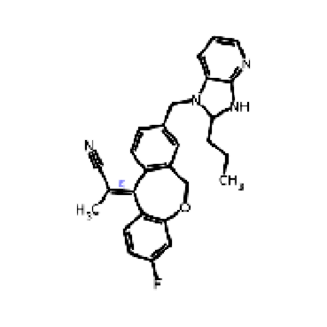 CCCC1Nc2ncccc2N1Cc1ccc2c(c1)COc1cc(F)ccc1/C2=C(\C)C#N